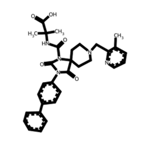 Cc1cccnc1CN1CCC2(CC1)C(=O)N(c1ccc(-c3ccccc3)cc1)C(=O)N2C(=O)NC(C)(C)C(=O)O